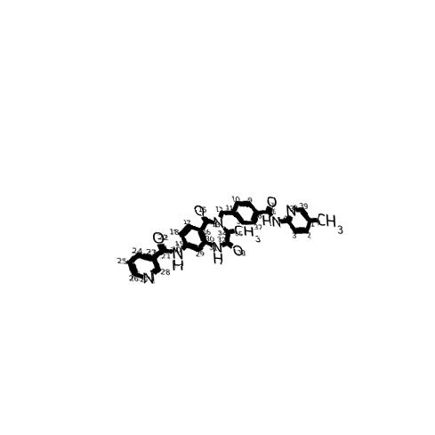 Cc1ccc(NC(=O)c2ccc(CN3C(=O)c4ccc(NC(=O)c5cccnc5)cc4NC(=O)C3C)cc2)nc1